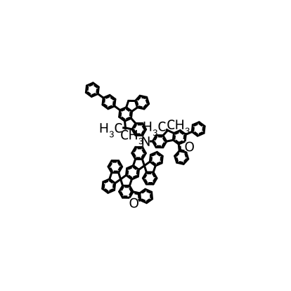 CC1(C)c2cc(N(c3ccc4c(c3)C(C)(C)c3cc(-c5ccccc5)c5oc6ccccc6c5c3-4)c3ccc4c(c3)C3(c5ccccc5-c5ccccc53)c3cc5c(cc3-4)C3(c4ccccc4-c4ccccc43)c3ccc4oc6ccccc6c4c3-5)ccc2-c2c1cc(-c1ccc(-c3ccccc3)cc1)c1c2-c2ccccc2C1